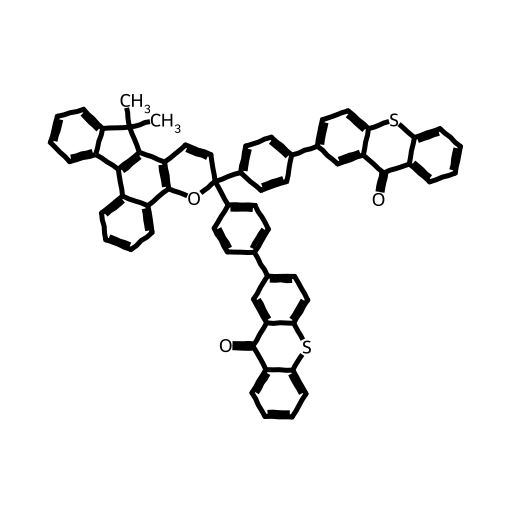 CC1(C)c2ccccc2-c2c1c1c(c3ccccc23)OC(c2ccc(-c3ccc4sc5ccccc5c(=O)c4c3)cc2)(c2ccc(-c3ccc4sc5ccccc5c(=O)c4c3)cc2)C=C1